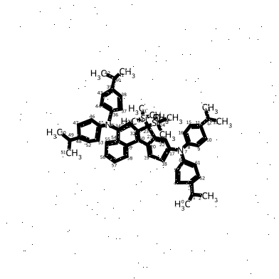 CC(C)c1ccc(N(c2ccc(C(C)C)cc2)c2ccc3c(c2)C([Si](C)(C)C)([Si](C)(C)C)c2cc(N(c4ccc(C(C)C)cc4)c4ccc(C(C)C)cc4)c4ccccc4c2-3)cc1